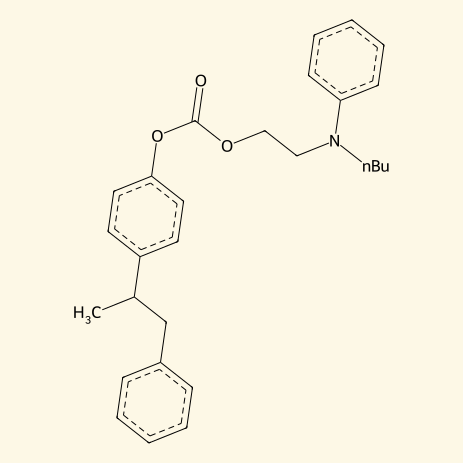 CCCCN(CCOC(=O)Oc1ccc(C(C)Cc2ccccc2)cc1)c1ccccc1